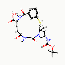 CN1CC(=O)N2C[C@H](NC(=O)OC(C)(C)C)C[C@H]2CSc2cccc(c2)C(=O)N(C)[C@H](C(=O)O)CCC1=O